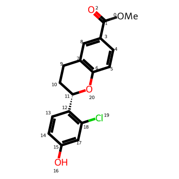 COC(=O)c1ccc2c(c1)CC[C@@H](c1ccc(O)cc1Cl)O2